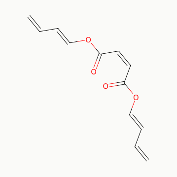 C=CC=COC(=O)/C=C\C(=O)OC=CC=C